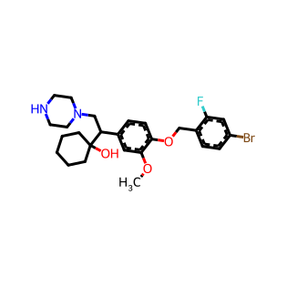 COc1cc(C(CN2CCNCC2)C2(O)CCCCC2)ccc1OCc1ccc(Br)cc1F